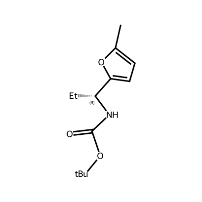 CC[C@@H](NC(=O)OC(C)(C)C)c1ccc(C)o1